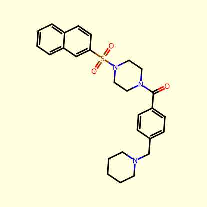 O=C(c1ccc(CN2CCCCC2)cc1)N1CCN(S(=O)(=O)c2ccc3ccccc3c2)CC1